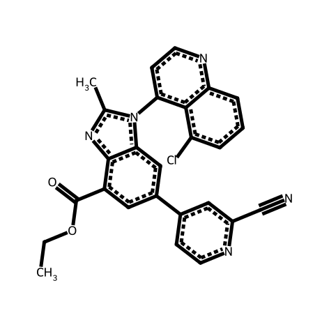 CCOC(=O)c1cc(-c2ccnc(C#N)c2)cc2c1nc(C)n2-c1ccnc2cccc(Cl)c12